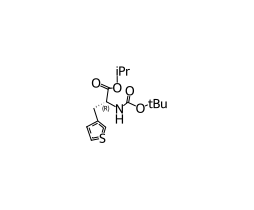 CC(C)OC(=O)[C@@H](Cc1ccsc1)NC(=O)OC(C)(C)C